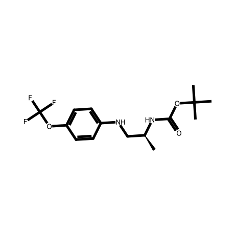 C[C@@H](CNc1ccc(OC(F)(F)F)cc1)NC(=O)OC(C)(C)C